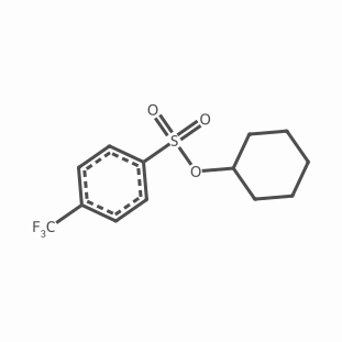 O=S(=O)(OC1CCCCC1)c1ccc(C(F)(F)F)cc1